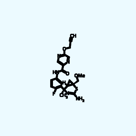 C#CCOc1cnc(C(=O)Nc2ccc(F)c([C@@]3(C)N=C(N)S[C@@]4(COC)C[C@H]43)c2)cn1